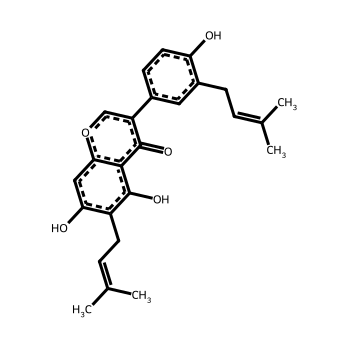 CC(C)=CCc1cc(-c2coc3cc(O)c(CC=C(C)C)c(O)c3c2=O)ccc1O